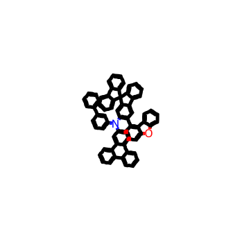 c1ccc(-c2cccc(N(c3ccc4c5ccccc5c5ccccc5c4c3)c3cc4c(cc3-c3cccc5oc6ccccc6c35)-c3ccccc3C43c4ccccc4-c4ccccc43)c2)cc1